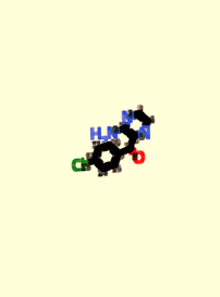 Nc1nccnc1C(=O)c1ccc(Cl)cc1